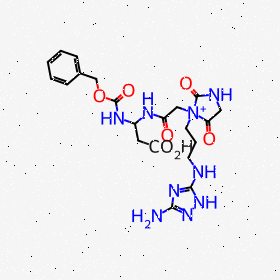 Nc1n[nH]c(NCCC[N+]2(CC(=O)NC(CC(=O)O)NC(=O)OCc3ccccc3)C(=O)CNC2=O)n1